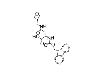 O=C(C[C@H](NC(=O)OCC1c2ccccc2-c2ccccc21)C(=O)O)NCC1COC1